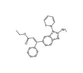 CCOC(=O)C=C(c1ccccc1)c1ccc2nc(N)n(N3C=CC=CS3)c2c1